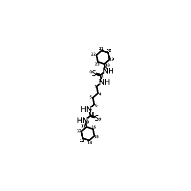 S=C(NCCCCNC(=S)NC1CCCCC1)NC1CCCCC1